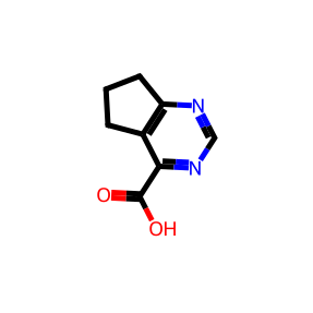 O=C(O)c1ncnc2c1CCC2